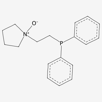 [O-][N+]1(CCP(c2ccccc2)c2ccccc2)CCCC1